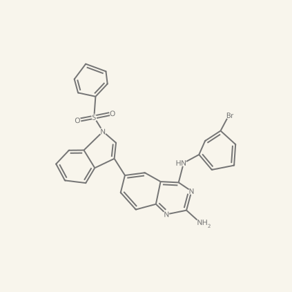 Nc1nc(Nc2cccc(Br)c2)c2cc(-c3cn(S(=O)(=O)c4ccccc4)c4ccccc34)ccc2n1